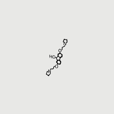 OC1c2cc(OCCCN3CCCC3)ccc2-c2ccc(OCCCN3CCCC3)cc21